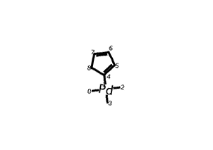 [CH3][Pd]([CH3])([CH3])[C]1=CC=CC1